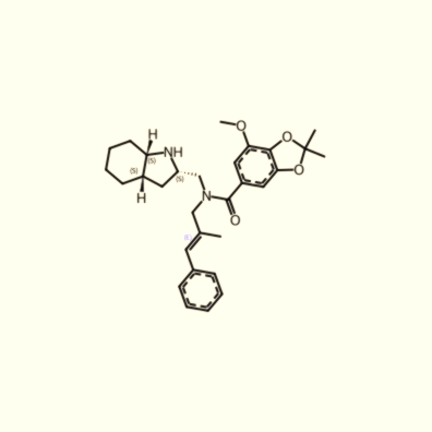 COc1cc(C(=O)N(C/C(C)=C/c2ccccc2)C[C@@H]2C[C@@H]3CCCC[C@@H]3N2)cc2c1OC(C)(C)O2